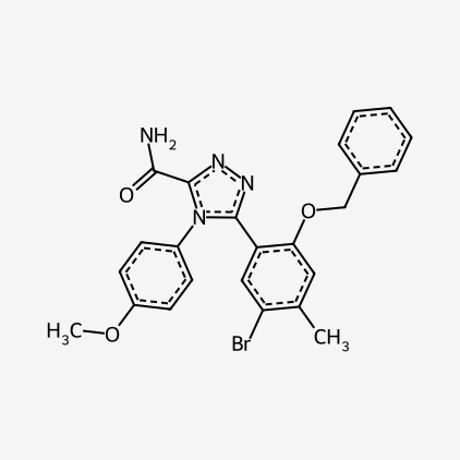 COc1ccc(-n2c(C(N)=O)nnc2-c2cc(Br)c(C)cc2OCc2ccccc2)cc1